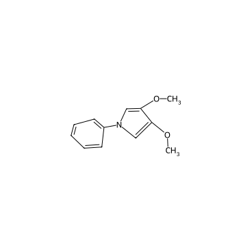 COc1cn(-c2ccccc2)cc1OC